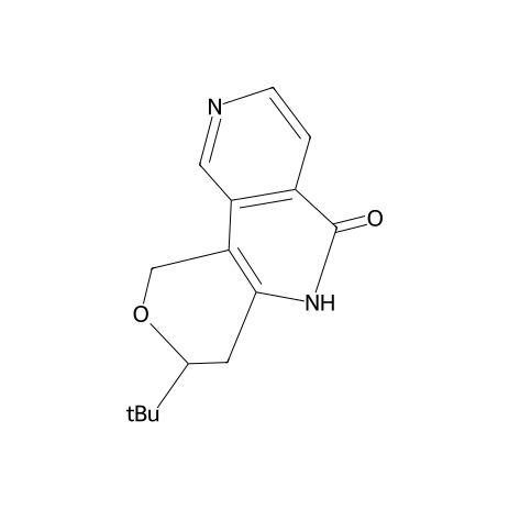 CC(C)(C)C1Cc2[nH]c(=O)c3ccncc3c2CO1